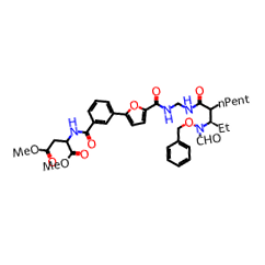 CCCCCC(C(=O)NCNC(=O)c1ccc(-c2cccc(C(=O)NC(CC(=O)OC)C(=O)OC)c2)o1)[C@@H](CC)N(C=O)OCc1ccccc1